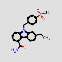 CCc1c[c]c2c3c(C(N)=O)cccc3n(Cc3ccc(S(C)(=O)=O)cc3)c2c1